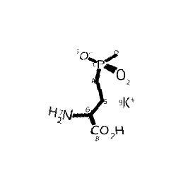 CP(=O)([O-])CCC(N)C(=O)O.[K+]